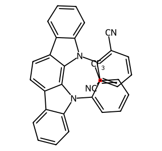 N#Cc1cccc(C#N)c1-n1c2ccccc2c2ccc3c4ccccc4n(-c4ccccc4C(F)(F)F)c3c21